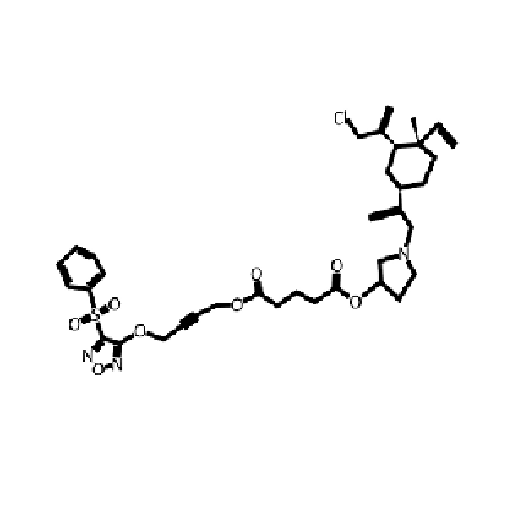 C=C[C@]1(C)CC[C@@H](C(=C)CN2CCC(OC(=O)CCCC(=O)OCC#CCOc3nonc3S(=O)(=O)c3ccccc3)C2)C[C@H]1C(=C)CCl